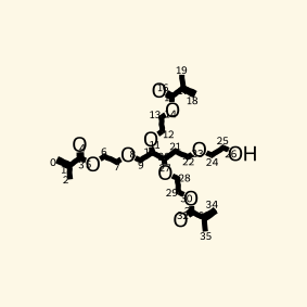 C=C(C)C(=O)OCCOCC(OCCOC(=O)C(=C)C)C(CCOCCO)OCCOC(=O)C(=C)C